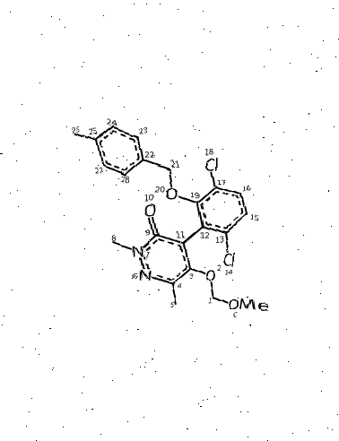 COCOc1c(C)nn(C)c(=O)c1-c1c(Cl)ccc(Cl)c1OCc1ccc(C)cc1